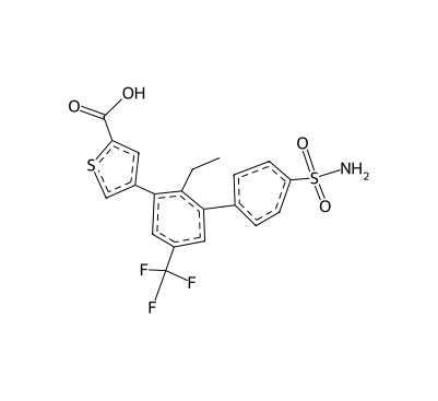 CCc1c(-c2ccc(S(N)(=O)=O)cc2)cc(C(F)(F)F)cc1-c1csc(C(=O)O)c1